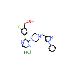 Cl.OCc1ccc(-c2nccnc2N2CCN(Cc3cnn(-c4ccccc4)c3)CC2)cc1F